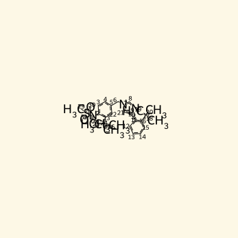 CN(c1ccc(Cn2cnc(-c3ccccc3C(C)(C)C)c2)cc1C(C)(C)C)S(C)(=O)=O